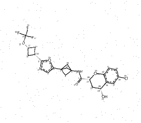 O=C(NC12CC(c3cnc([C@H]4C[C@@H](OC(F)(F)F)C4)o3)(C1)C2)[C@H]1C[C@@H](O)c2cc(Cl)ccc2O1